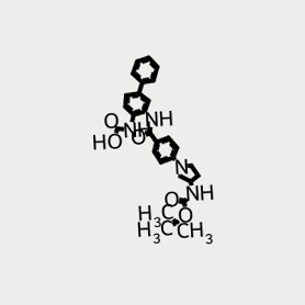 CC(C)(C)OC(=O)NC1CCN(c2ccc(C(=O)Nc3cc(-c4ccccc4)ccc3NC(=O)O)cc2)C1